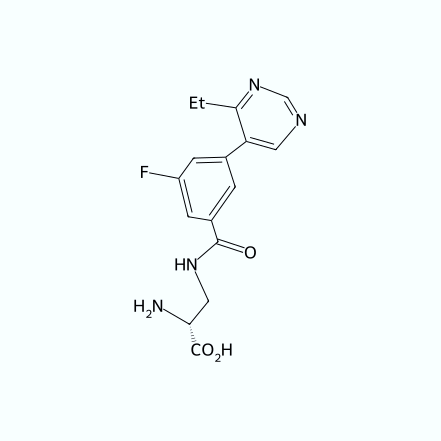 CCc1ncncc1-c1cc(F)cc(C(=O)NC[C@@H](N)C(=O)O)c1